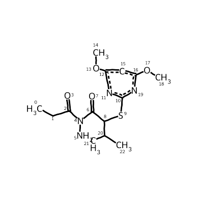 CCC(=O)N(N)C(=O)C(Sc1nc(OC)cc(OC)n1)C(C)C